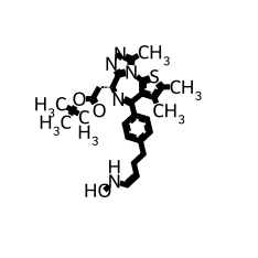 Cc1sc2c(c1C)C(c1ccc(CC/C=C\NO)cc1)=N[C@H](CC(=O)OC(C)(C)C)c1nnc(C)n1-2